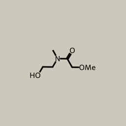 COCC(=O)N(C)CCO